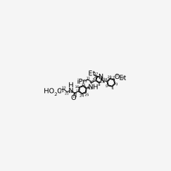 CCOc1cccc(-n2cc(C(CC(C)C)Nc3ccc(C(=O)NCCC(=O)O)cc3)c(CC)n2)c1